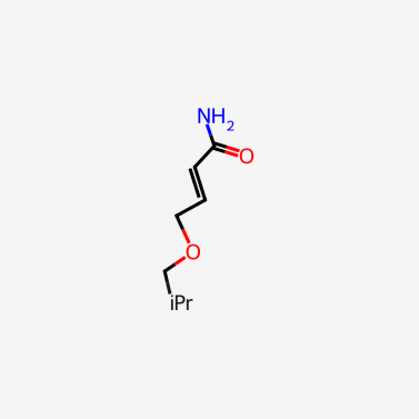 CC(C)COCC=CC(N)=O